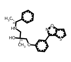 C[C@@H](NC[C@](C)(O)COc1cccc(-c2noc3ccsc23)c1)c1ccccc1